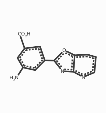 Nc1cc(C(=O)O)cc(-c2nc3ncccc3o2)c1